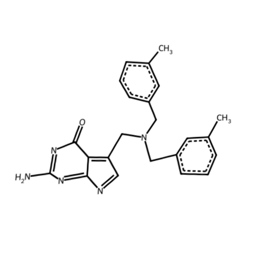 Cc1cccc(CN(CC2=C3C(=O)N=C(N)N=C3N=C2)Cc2cccc(C)c2)c1